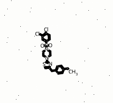 CCc1ccc(Cc2csc(N3CCN(S(=O)(=O)c4ccc(Cl)c(Cl)c4)CC3)n2)cc1